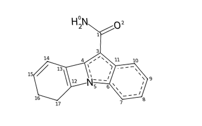 NC(=O)c1c2n(c3ccccc13)C1=C2C=CCC1